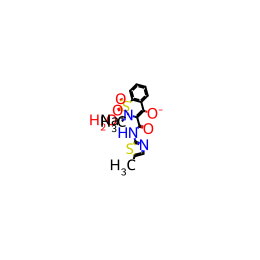 Cc1cnc(NC(=O)C2=C([O-])c3ccccc3S(=O)(=O)N2C)s1.O.[Na+]